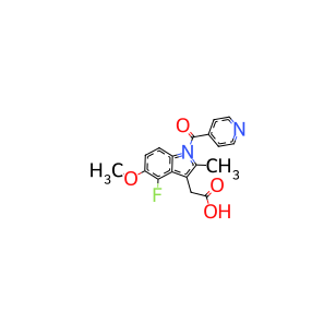 COc1ccc2c(c1F)c(CC(=O)O)c(C)n2C(=O)c1ccncc1